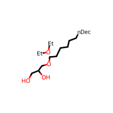 CCCCCCCCCCCCCCCCOCC(O)CO.CCOCC